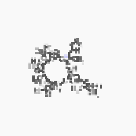 CC[Si](CC)(CC)OC1[C@@H](C)CCC[C@]2(C)[C@H](C[C@@H](/C(C)=C/c3cnsn3)OC(=O)C[C@H](O[Si](CC)(CC)CC)C(C)(C)C(=O)[C@@H]1C)N2CCO[Si](C)(C)C(C)(C)C